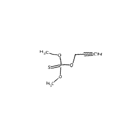 C#CCOP(=S)(OC)OC